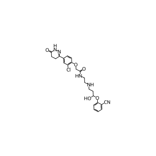 N#Cc1ccccc1OC(O)CCNCCNC(=O)COc1ccc(C2=NNC(=O)CC2)cc1Cl